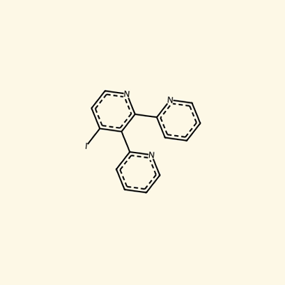 Ic1ccnc(-c2ccccn2)c1-c1ccccn1